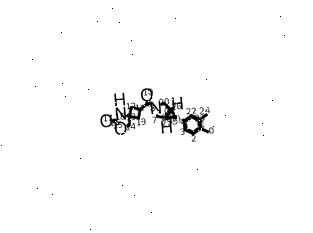 Cc1ccc([C@@H]2[C@@H]3CN(C(=O)C4CC5(COC(=O)N5)C4)C[C@@H]32)cc1C